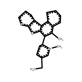 CCc1ccc(-c2c(C)c3ccccc3c3c2oc2ncccc23)[n+](C)c1